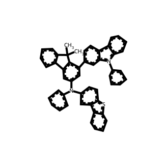 CC1(C)c2ccccc2-c2cc(N(c3ccccc3)c3ccc4sc5ccccc5c4c3)cc(-c3ccc4c5ccccc5n(-c5ccccc5)c4c3)c21